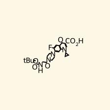 CC(C)(C)OC(=O)NCC(=O)N1CCN(c2cc3c(cc2F)c(=O)c(C(=O)O)cn3C2CC2)CC1